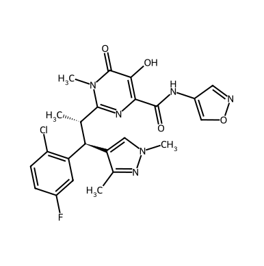 Cc1nn(C)cc1[C@@H](c1cc(F)ccc1Cl)[C@H](C)c1nc(C(=O)Nc2cnoc2)c(O)c(=O)n1C